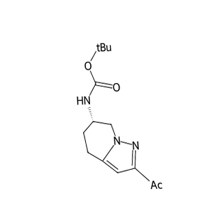 CC(=O)c1cc2n(n1)C[C@@H](NC(=O)OC(C)(C)C)CC2